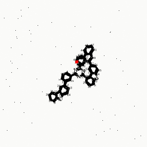 c1ccc(-c2nc(-c3cccc(-c4ccc5oc6ccccc6c5c4)c3)nc(-c3cccc4sc5ccc(-c6cc7ccccc7c7ccccc67)cc5c34)n2)cc1